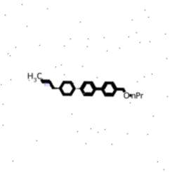 C/C=C/C[C@H]1CC[C@H](c2ccc(-c3ccc(COCCC)cc3)cc2)CC1